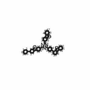 c1ccc(-c2ccc3c(c2)oc2cc(-c4nc(-c5ccc(-c6cccc7c6sc6ccccc67)cc5)nc(-c5ccc6c(c5)oc5ccccc56)n4)ccc23)cc1